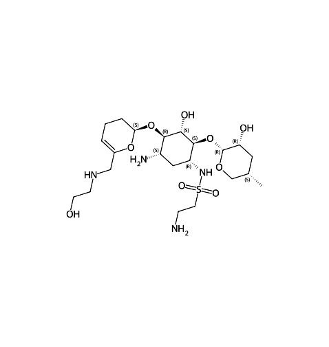 C[C@@H]1CO[C@H](O[C@@H]2[C@@H](O)[C@H](O[C@@H]3CCC=C(CNCCO)O3)[C@@H](N)C[C@H]2NS(=O)(=O)CCN)[C@H](O)C1